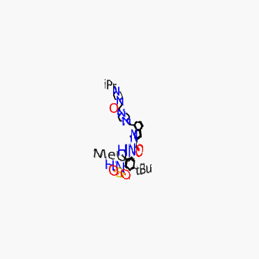 COc1c(NC(=O)c2cc3cccc(CN4CCN(C(=O)CN5CCN(C(C)C)CC5)CC4)c3n2C)cc(C(C)(C)C)cc1NS(C)(=O)=O